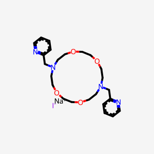 [I-].[Na+].c1ccc(CN2CCOCCOCCN(Cc3ccccn3)CCOCCOCC2)nc1